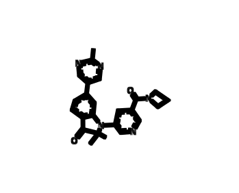 Cc1ncc(-c2ccc3c(c2)N(c2cncc(C(=O)N4CCC4)c2)C(C)(C)C3=O)cn1